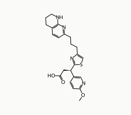 COc1ccc([C@@H](CC(=O)O)c2nc(CCCc3ccc4c(n3)NCCC4)cs2)cn1